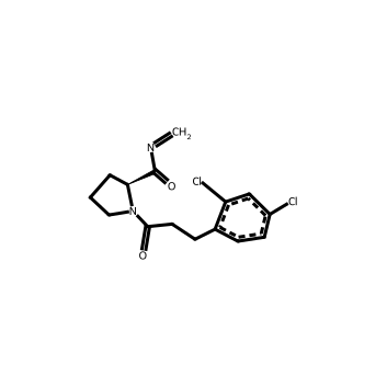 C=NC(=O)[C@@H]1CCCN1C(=O)CCc1ccc(Cl)cc1Cl